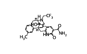 Cc1ccc2c(c1)[C@]13CCN(CC(F)(F)F)[C@H](C2)[C@]1(O)Cc1cc(C(N)=O)c(=O)[nH]c1C3